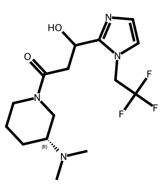 CN(C)[C@@H]1CCCN(C(=O)CC(O)c2nccn2CC(F)(F)F)C1